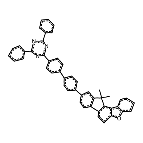 CC1(C)c2cc(-c3ccc(-c4ccc(-c5nc(-c6ccccc6)nc(-c6ccccc6)n5)cc4)cc3)ccc2-c2ccc3oc4ccccc4c3c21